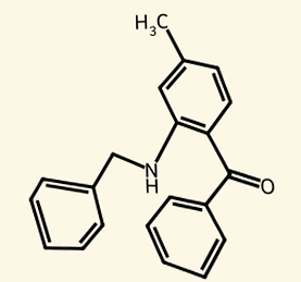 Cc1ccc(C(=O)c2ccccc2)c(NCc2ccccc2)c1